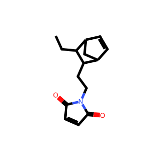 CCC1C2C=CC(C2)C1CCN1C(=O)C=CC1=O